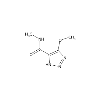 CNC(=O)c1[nH]nnc1OC